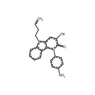 C=CCCn1c2ccccc2c2c1cc(C#N)c(=O)n2-c1ccc([N+](=O)[O-])cc1